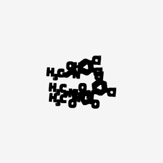 CC(C)NC(=O)N1CC(=O)N(c2cc(Cl)cc(Cl)c2)C1=O.CCC(=O)Nc1ccc(Cl)c(Cl)c1